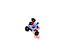 C=CCN1CC(=O)N2[C@@H](Cc3ccc(O)cc3)C(=O)N(Cc3nn(Cc4ccccc4)c4ccccc34)C[C@@H]2N1C(=O)NCc1ccccc1